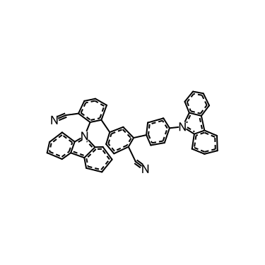 N#Cc1ccc(-c2cccc(C#N)c2-n2c3ccccc3c3ccccc32)cc1-c1ccc(-n2c3ccccc3c3ccccc32)cc1